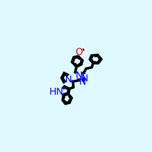 COc1ccc(Cn2c(CCc3ccccc3)nnc2C(Cc2c[nH]c3ccccc23)n2cccc2)cc1